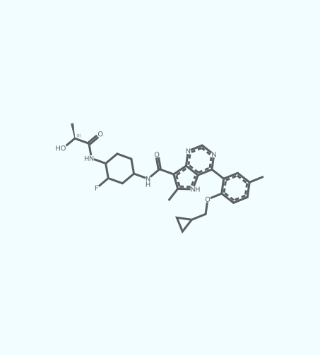 Cc1ccc(OCC2CC2)c(-c2ncnc3c(C(=O)NC4CCC(NC(=O)[C@H](C)O)C(F)C4)c(C)[nH]c23)c1